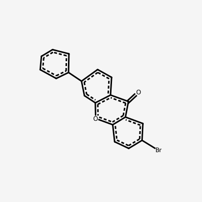 O=c1c2ccc(-c3ccccc3)cc2oc2ccc(Br)cc12